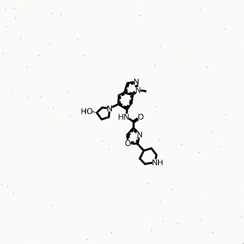 Cn1ncc2cc(N3CC[C@H](O)C3)c(NC(=O)c3coc(C4CCNCC4)n3)cc21